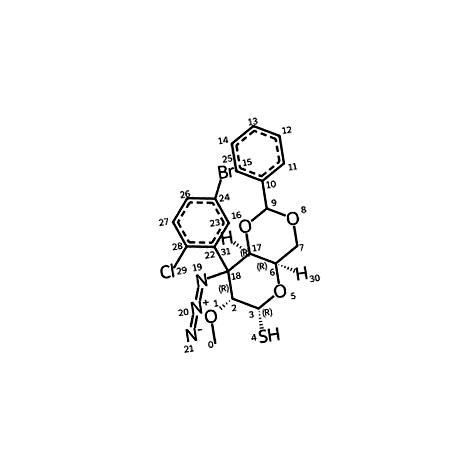 CO[C@H]1[C@@H](S)O[C@@H]2COC(c3ccccc3)O[C@@H]2C1(N=[N+]=[N-])c1cc(Br)ccc1Cl